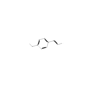 Br/C=C/c1ccc(CBr)cc1